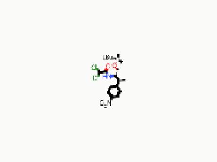 C[C@@H](c1ccc([N+](=O)[O-])cc1)[C@@H](CO[Si](C)(C)C(C)(C)C)NC(=O)C(Cl)Cl